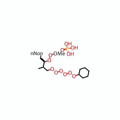 CCCCCCCCCC=C(OOOC)C(C)COOOOOOC1CCCCC1.O=P(O)(O)O